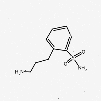 NCCCc1c[c]ccc1S(N)(=O)=O